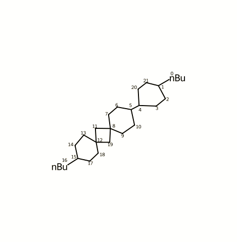 CCCCC1CCC(C2CCC3(CC2)CC2(CCC(CCCC)CC2)C3)CC1